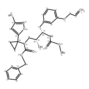 C=CCOc1cccc(C[C@H](NC(=O)OC(C)(C)C)[C@H](O)CN(C(=O)OCc2ccccc2)C2(c3cc(CCC)no3)CC2)c1